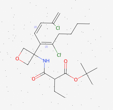 C=C(Cl)/C=C\C(=C(\Cl)CCCC)C1(NC(=O)C(CC)C(=O)OC(C)(C)C)COC1